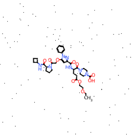 CCOCCOC(=O)CCC(NC(=O)c1cc(OCC(=O)N2CCCC2C(=O)NC2CCC2)n(-c2ccccc2)n1)C(=O)N1CCN(C(=O)O)CC1